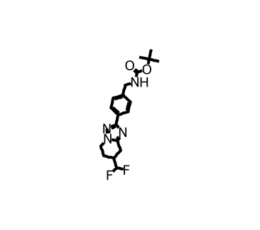 CC(C)(C)OC(=O)NCc1ccc(-c2nc3n(n2)CCC(C(F)F)C3)cc1